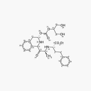 CCOC(=O)[C@H](CCc1ccccc1)N[C@@H](C)C(=O)C1N[C@@H](OC(=O)OC(CO)CO)Cc2ccccc21